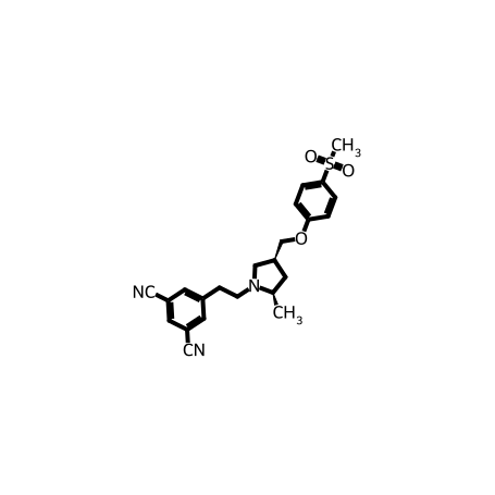 C[C@@H]1C[C@H](COc2ccc(S(C)(=O)=O)cc2)CN1CCc1cc(C#N)cc(C#N)c1